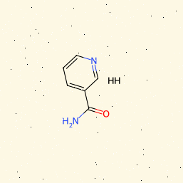 NC(=O)c1cccnc1.[HH]